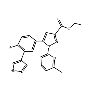 CCOC(=O)c1cc(-c2ccc(F)c(-c3cn[nH]c3)c2)n(-c2cccc(C)n2)n1